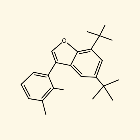 Cc1cccc(-c2coc3c(C(C)(C)C)cc(C(C)(C)C)cc23)c1C